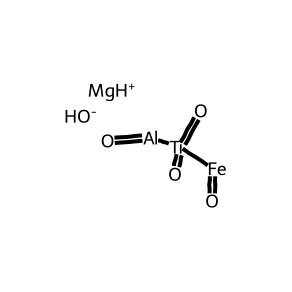 [MgH+].[OH-].[O]=[Al][Ti](=[O])(=[O])[Fe]=[O]